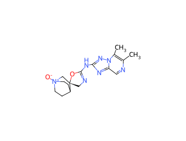 Cc1ncc2nc(NC3=NC[C@@]4(C[N+]5([O-])CCC4CC5)O3)nn2c1C